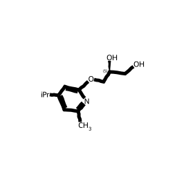 Cc1cc(C(C)C)cc(OC[C@@H](O)CO)n1